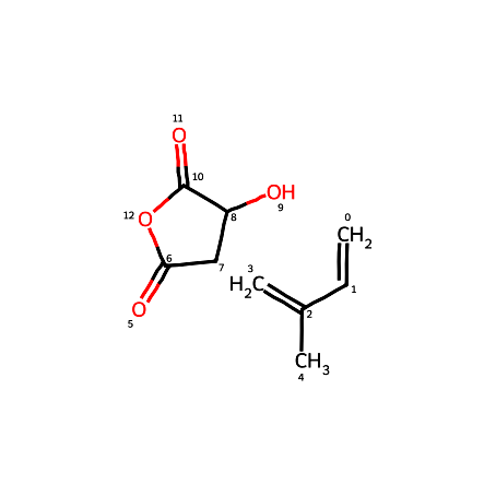 C=CC(=C)C.O=C1CC(O)C(=O)O1